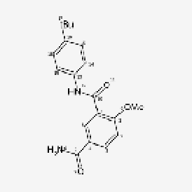 COc1ccc(C(N)=O)cc1C(=O)Nc1ccc(C(C)(C)C)cc1